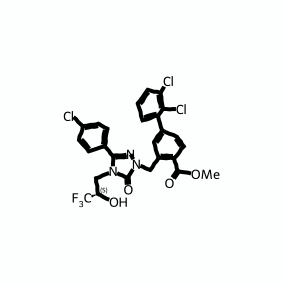 COC(=O)c1ccc(-c2cccc(Cl)c2Cl)cc1Cn1nc(-c2ccc(Cl)cc2)n(C[C@H](O)C(F)(F)F)c1=O